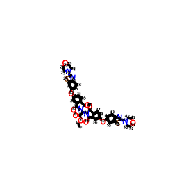 CCOC(=O)C(N1C(=O)c2ccc(Oc3ccc4nc(N5CCOCC5)sc4c3)cc2C1=O)N1C(=O)c2ccc(Oc3ccc4nc(N5CCOCC5)sc4c3)cc2C1=O